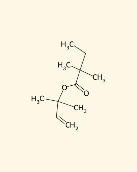 C=CC(C)(C)OC(=O)C(C)(C)CC